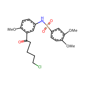 COc1ccc(S(=O)(=O)Nc2ccc(OC)c(C(=O)CCCCCl)c2)cc1OC